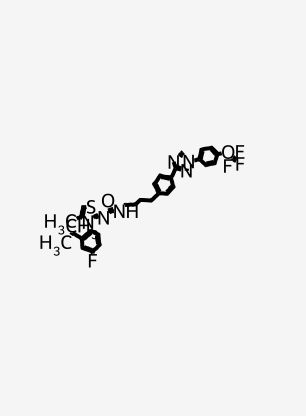 Cc1cs/c(=N\C(=O)NCCCCc2ccc(-c3ncn(-c4ccc(OC(F)(F)F)cc4)n3)cc2)n1-c1ccc(F)cc1C(C)C